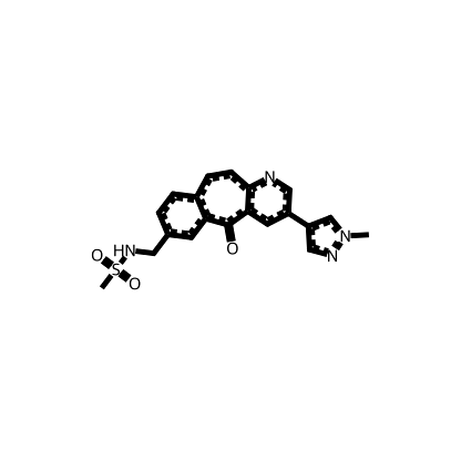 Cn1cc(-c2cnc3ccc4ccc(CNS(C)(=O)=O)cc4c(=O)c3c2)cn1